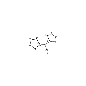 [O]C(N1CCCC1)N1CCCC1